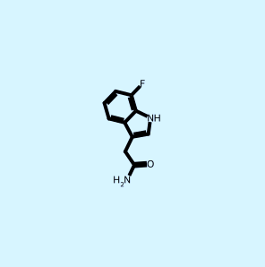 NC(=O)Cc1c[nH]c2c(F)cccc12